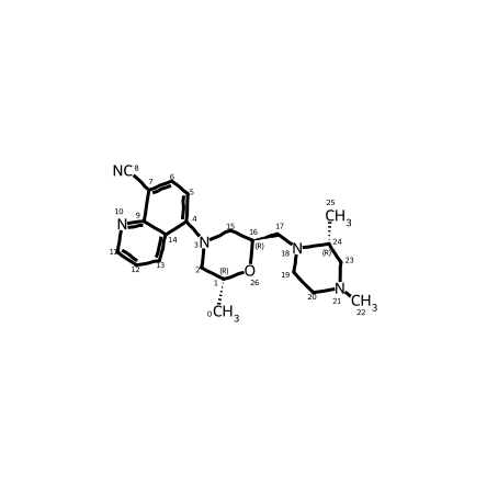 C[C@@H]1CN(c2ccc(C#N)c3ncccc23)C[C@@H](CN2CCN(C)C[C@H]2C)O1